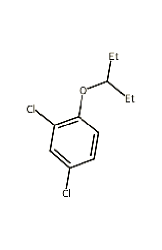 [CH2]CC(CC)Oc1ccc(Cl)cc1Cl